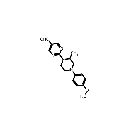 CC1CN(c2ccc(OC(F)(F)F)cc2)CCN1c1ncc(C=O)cn1